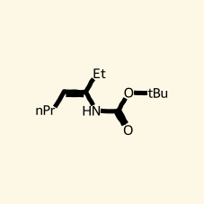 CCCC=C(CC)NC(=O)OC(C)(C)C